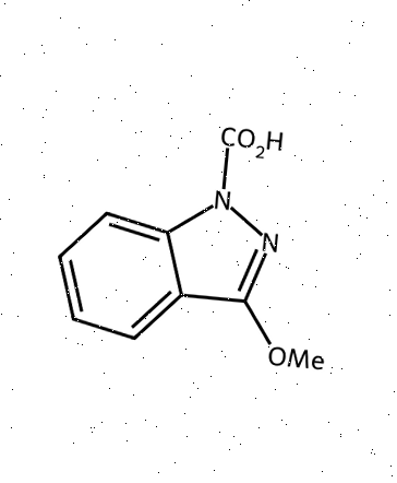 COc1nn(C(=O)O)c2ccccc12